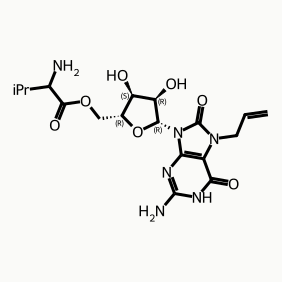 C=CCn1c(=O)n([C@@H]2O[C@H](COC(=O)C(N)C(C)C)[C@@H](O)[C@H]2O)c2nc(N)[nH]c(=O)c21